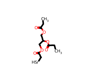 CCC(=O)OCC(COC(=O)[CH2][SrH])OC(=O)CC